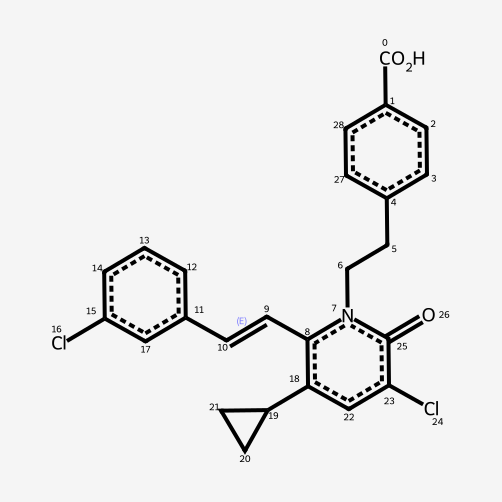 O=C(O)c1ccc(CCn2c(/C=C/c3cccc(Cl)c3)c(C3CC3)cc(Cl)c2=O)cc1